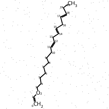 C=COCCCCCCCCC=CCC=CCC=CCC